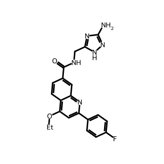 CCOc1cc(-c2ccc(F)cc2)nc2cc(C(=O)NCc3nc(N)n[nH]3)ccc12